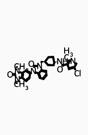 Cc1ncc(Cl)cc1C(=O)N[C@H]1CC[C@H](Cn2c(=O)n(-c3ccc4c(c3)n(C)c(=O)n4C)c3ccccc32)CC1